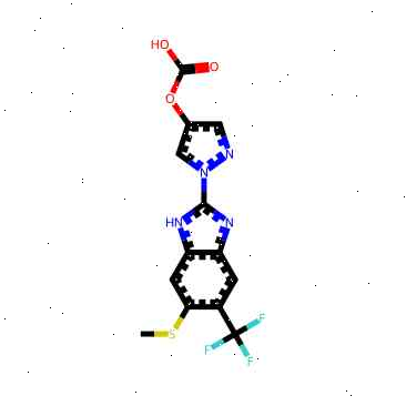 CSc1cc2[nH]c(-n3cc(OC(=O)O)cn3)nc2cc1C(F)(F)F